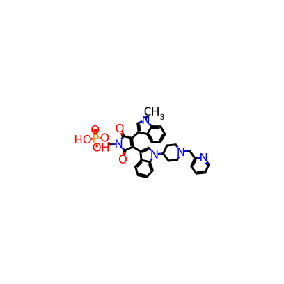 Cn1cc(C2=C(c3cn(C4CCN(Cc5ccccn5)CC4)c4ccccc34)C(=O)N(COP(=O)(O)O)C2=O)c2ccccc21